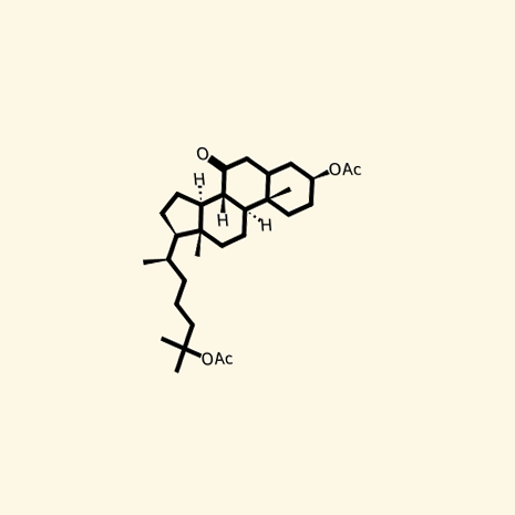 CC(=O)O[C@H]1CC[C@@]2(C)C(CC(=O)[C@H]3[C@@H]4CC[C@H]([C@H](C)CCCC(C)(C)OC(C)=O)[C@@]4(C)CC[C@@H]32)C1